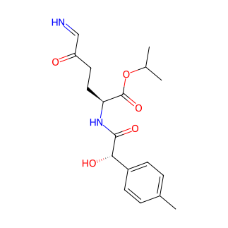 Cc1ccc([C@H](O)C(=O)N[C@@H](CCC(=O)C=N)C(=O)OC(C)C)cc1